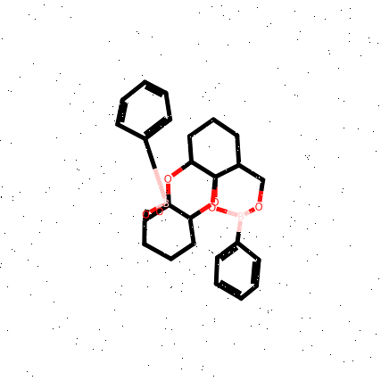 c1ccc(B2OCC3CCCC4OC56OB(c7ccccc7)OCC5CCCC6OC34O2)cc1